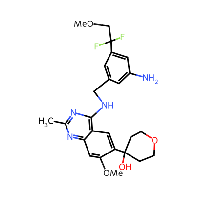 COCC(F)(F)c1cc(N)cc(CNc2nc(C)nc3cc(OC)c(C4(O)CCOCC4)cc23)c1